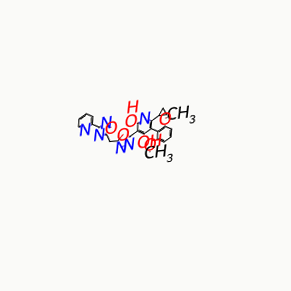 COc1cccc(OC)c1-c1c(C2CC2)nc(O)c(-c2nnc(Cc3nc(-c4ccccn4)no3)o2)c1O